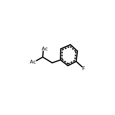 CC(=O)C(Cc1cccc(F)c1)C(C)=O